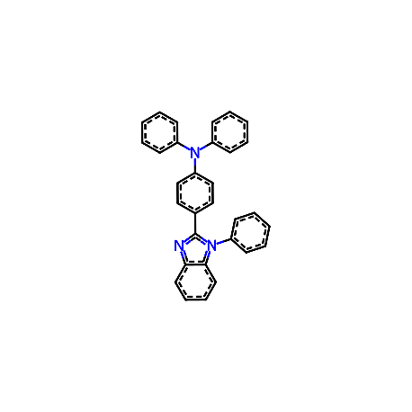 c1ccc(N(c2ccccc2)c2ccc(-c3nc4ccccc4n3-c3ccccc3)cc2)cc1